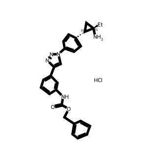 CC[C@]1(N)C[C@H]1c1ccc(-n2cc(-c3cccc(NC(=O)OCc4ccccc4)c3)nn2)cc1.Cl